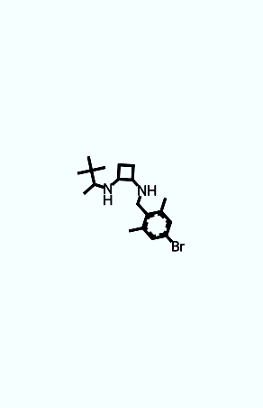 Cc1cc(Br)cc(C)c1CNC1CCC1NC(C)C(C)(C)C